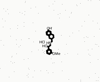 COc1cccc(C(O)CNCC2CCc3cc(O)ccc3C2)c1.Cl